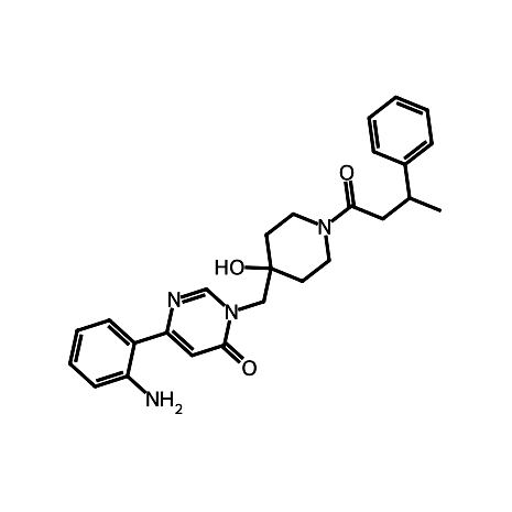 CC(CC(=O)N1CCC(O)(Cn2cnc(-c3ccccc3N)cc2=O)CC1)c1ccccc1